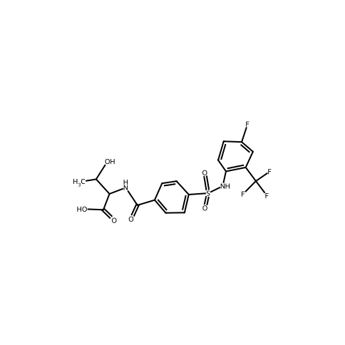 CC(O)C(NC(=O)c1ccc(S(=O)(=O)Nc2ccc(F)cc2C(F)(F)F)cc1)C(=O)O